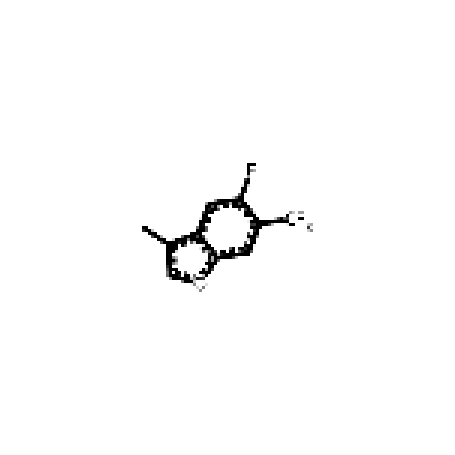 Cc1coc2cc(C(F)(F)F)c(F)cc12